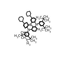 CC(C)(C)c1cc(N2c3ccc(C4CCCCC4)cc3B3c4cc(C5CCCCC5)ccc4N(c4cc(C(C)(C)C)cc(C(C)(C)C)c4)c4cccc2c43)cc(C(C)(C)C)c1